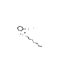 O=C(O)CCCCCCCNS(=O)(=O)c1ccccc1[N+](=O)[O-]